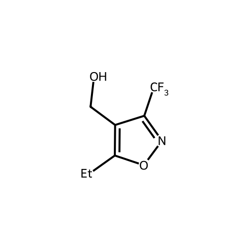 CCc1onc(C(F)(F)F)c1CO